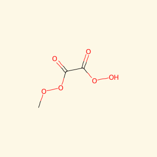 COOC(=O)C(=O)OO